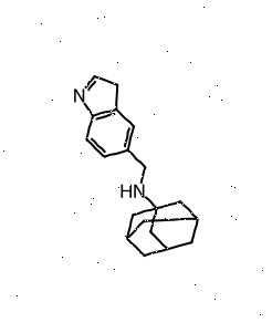 C1=Nc2ccc(CNC34CC5CC(CC(C5)C3)C4)cc2C1